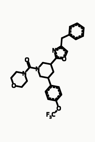 O=C(N1CCOCC1)N1CC(c2ccc(OC(F)(F)F)cc2)CC(c2nc(Cc3ccccc3)co2)C1